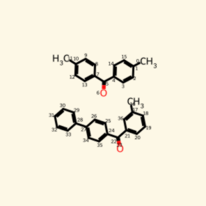 Cc1ccc(C(=O)c2ccc(C)cc2)cc1.Cc1cccc(C(=O)c2ccc(-c3ccccc3)cc2)c1